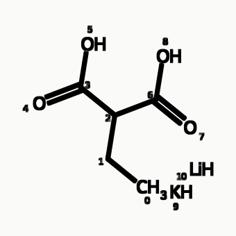 CCC(C(=O)O)C(=O)O.[KH].[LiH]